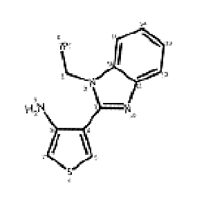 CC(C)Cn1c(-c2cscc2N)nc2ccccc21